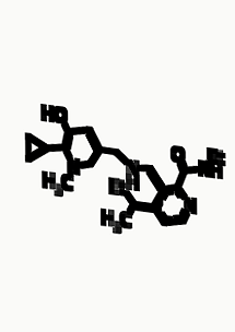 CCNC(=O)c1nccc(=C(\C)CC)/c1=C\NCC1=CC(O)=C(C2CC2)N(C)C1